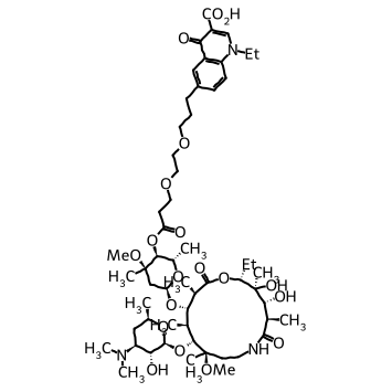 CC[C@H]1OC(=O)[C@H](C)[C@@H](O[C@H]2C[C@@](C)(OC)[C@@H](OC(=O)CCOCCOCCCc3ccc4c(c3)c(=O)c(C(=O)O)cn4CC)[C@H](C)O2)[C@H](C)[C@@H](O[C@@H]2O[C@H](C)C[C@H](N(C)C)[C@H]2O)[C@](C)(OC)CCNC(=O)[C@H](C)[C@@H](O)[C@]1(C)O